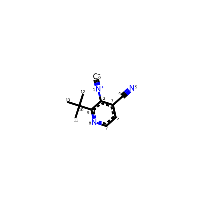 [C-]#[N+]c1c(C#N)ccnc1C(C)(C)C